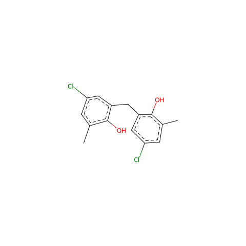 Cc1cc(Cl)cc(Cc2cc(Cl)cc(C)c2O)c1O